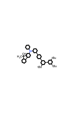 CC(C)(C)c1cc(-c2ccc(-c3cccc(N(c4ccccc4)c4ccc5c(c4)C(C)(C)c4ccccc4-5)c3)cc2)cc(-c2cc(C(C)(C)C)cc(C(C)(C)C)c2)c1